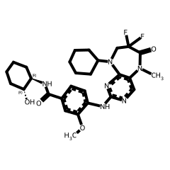 COc1cc(C(=O)N[C@@H]2CCCC[C@H]2O)ccc1Nc1ncc2c(n1)N(C1CCCCC1)CC(F)(F)C(=O)N2C